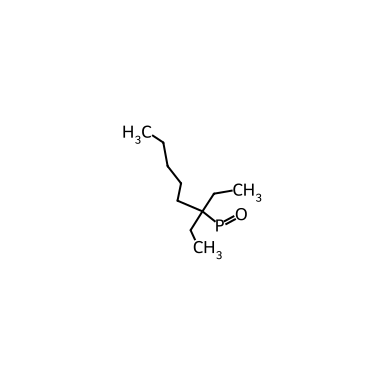 CCCCCC(CC)(CC)P=O